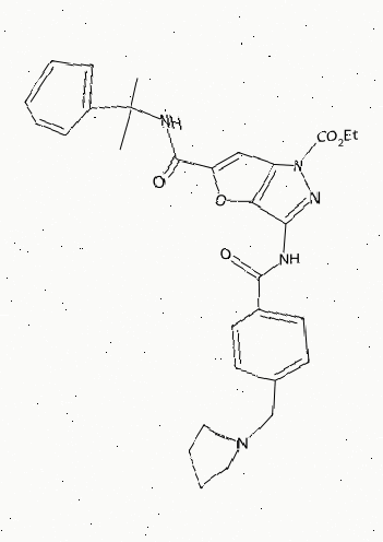 CCOC(=O)n1nc(NC(=O)c2ccc(CN3CCCC3)cc2)c2oc(C(=O)NC(C)(C)c3ccccc3)cc21